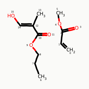 C=CC(=O)OC.CCCOC(=O)C(C)=CO